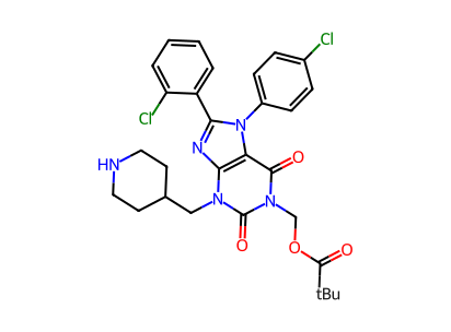 CC(C)(C)C(=O)OCn1c(=O)c2c(nc(-c3ccccc3Cl)n2-c2ccc(Cl)cc2)n(CC2CCNCC2)c1=O